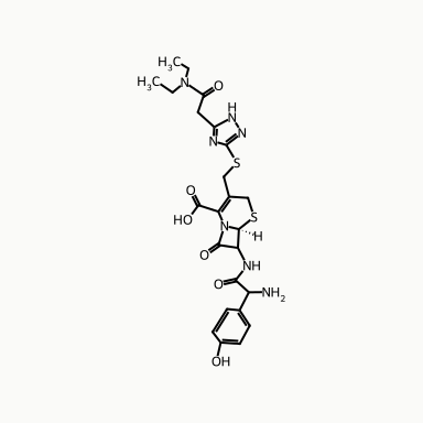 CCN(CC)C(=O)Cc1nc(SCC2=C(C(=O)O)N3C(=O)C(NC(=O)C(N)c4ccc(O)cc4)[C@@H]3SC2)n[nH]1